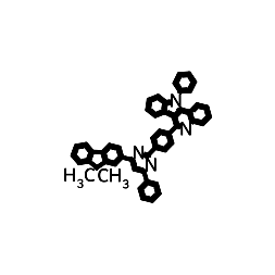 CC1(C)c2ccccc2-c2ccc(-c3cc(-c4ccccc4)nc(-c4ccc(-c5nc6ccccc6c6c5c5ccccc5n6-c5ccccc5)cc4)n3)cc21